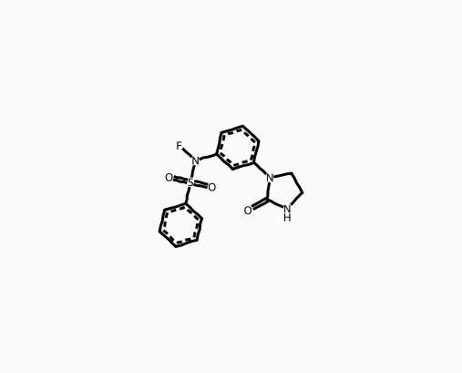 O=C1NCCN1c1cccc(N(F)S(=O)(=O)c2ccccc2)c1